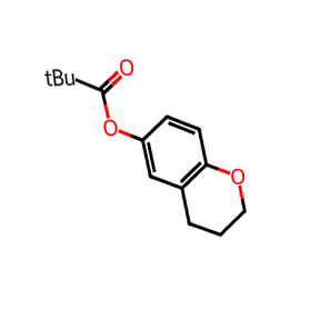 CC(C)(C)C(=O)Oc1ccc2c(c1)CCCO2